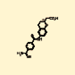 N=C(N)c1ccc(C(=O)Nc2ccc3c(c2)CC[C@@H](CC(=O)O)O3)cc1